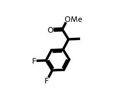 COC(=O)C(C)c1ccc(F)c(F)c1